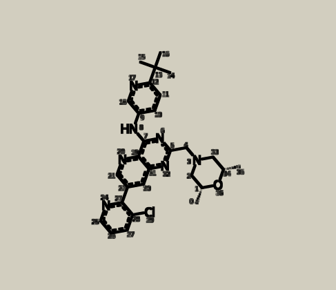 C[C@@H]1CN(Cc2nc(Nc3ccc(C(C)(C)C)nc3)c3ncc(-c4ncccc4Cl)cc3n2)C[C@H](C)O1